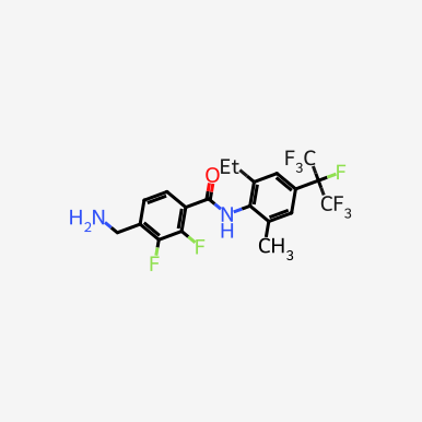 CCc1cc(C(F)(C(F)(F)F)C(F)(F)F)cc(C)c1NC(=O)c1ccc(CN)c(F)c1F